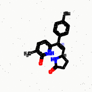 CC(C)(C)c1ccc(/C(=C/[C@H]2CCC(=O)N2)c2ccc(C(F)(F)F)c(=O)[nH]2)cc1